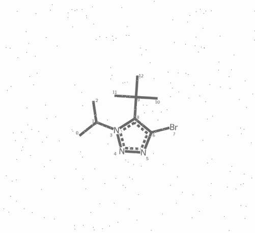 CC(C)n1nnc(Br)c1C(C)(C)C